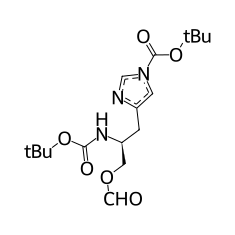 CC(C)(C)OC(=O)N[C@H](COC=O)Cc1cn(C(=O)OC(C)(C)C)cn1